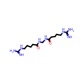 N=C(N)NCCCCC(=O)NCNC(=O)CCCCNC(=N)N